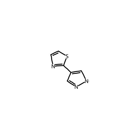 C1=N[N]C=C1c1nccs1